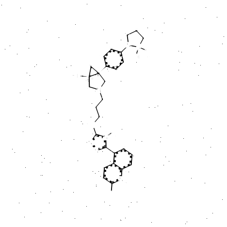 Cc1ccc2c(-c3nnc(SCCCN4C[C@@H]5C[C@]5(c5ccc(N6CCCS6(O)O)cc5)C4)n3C)cccc2n1